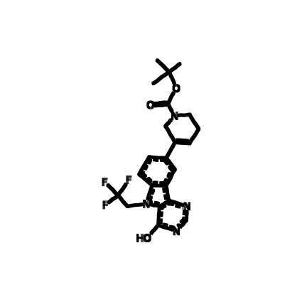 CC(C)(C)OC(=O)N1CCC=C(c2ccc3c(c2)c2ncnc(O)c2n3CC(F)(F)F)C1